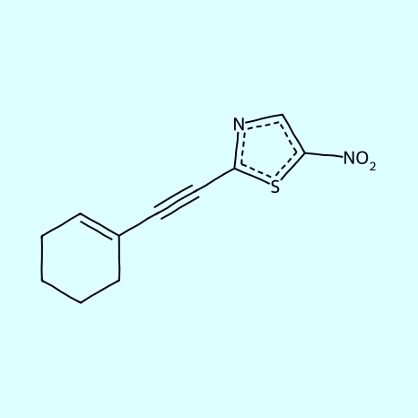 O=[N+]([O-])c1cnc(C#CC2=CCCCC2)s1